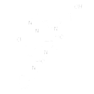 Cc1c(C(=O)N(c2ccc(O)cc2)c2cnc3c(ccn3C)c2)cc(-c2cc(Cl)ccc2C(=O)N2Cc3ccccc3C[C@H]2C)n1C